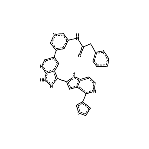 O=C(Cc1ccccc1)Nc1cncc(-c2cnc3[nH]nc(-c4cc5c(-c6ccsc6)nccc5[nH]4)c3c2)c1